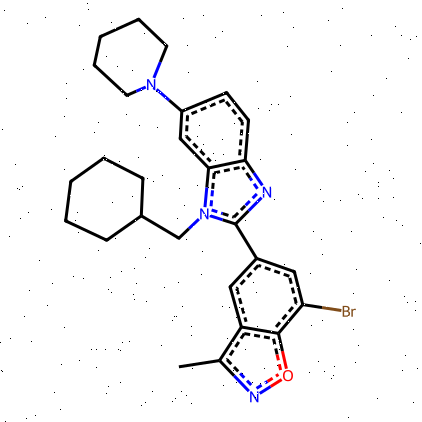 Cc1noc2c(Br)cc(-c3nc4ccc(N5CCCCC5)cc4n3CC3CCCCC3)cc12